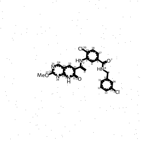 C=C(Nc1cc(C(=O)NCc2cccc(Cl)c2)ccc1Cl)c1cc2cnc(OC)nc2[nH]c1=O